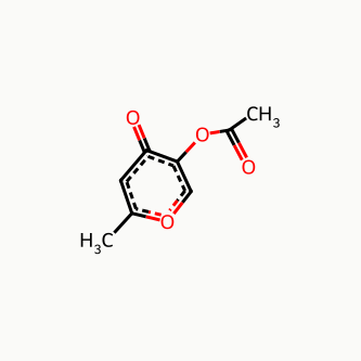 CC(=O)Oc1coc(C)cc1=O